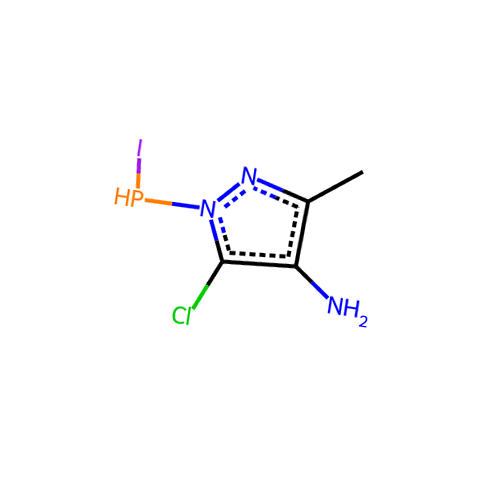 Cc1nn(PI)c(Cl)c1N